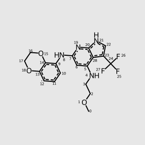 COCCNc1cc(Nc2cc[c]c3c2OCCO3)nc2[nH]cc(C(F)(F)F)c12